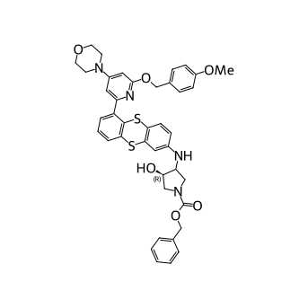 COc1ccc(COc2cc(N3CCOCC3)cc(-c3cccc4c3Sc3ccc(NC5CN(C(=O)OCc6ccccc6)C[C@H]5O)cc3S4)n2)cc1